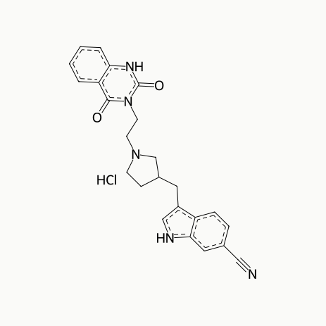 Cl.N#Cc1ccc2c(CC3CCN(CCn4c(=O)[nH]c5ccccc5c4=O)C3)c[nH]c2c1